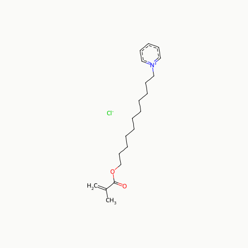 C=C(C)C(=O)OCCCCCCCCCCC[n+]1ccccc1.[Cl-]